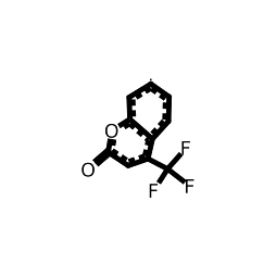 O=c1cc(C(F)(F)F)c2cc[c]cc2o1